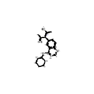 CC(=N)/C(=C(/C)O)c1ccc2ncnc(NC3CCCCC3)c2c1